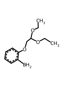 Bc1ccccc1OCC(OCC)OCC